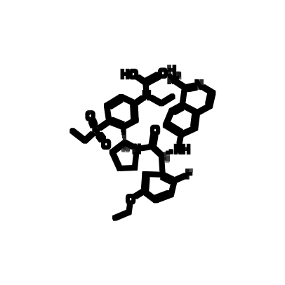 CCOc1ccc(F)c([C@@H](Nc2ccc3c(N)nccc3c2)C(=O)N2CCC[C@@H]2c2cc(N(CC)C(=O)O)ccc2S(=O)(=O)CC)c1